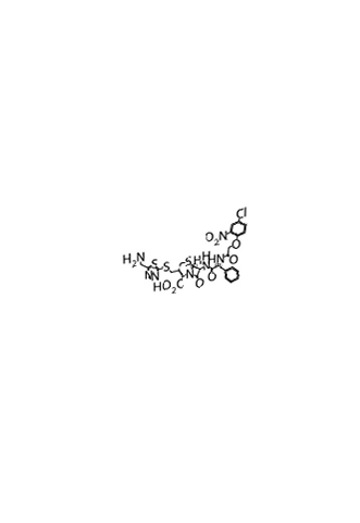 NCc1nnc(SCC2=C(C(=O)O)N3C(=O)C(NC(=O)[C@H](NC(=O)COc4ccc(Cl)cc4[N+](=O)[O-])c4ccccc4)[C@@H]3SC2)s1